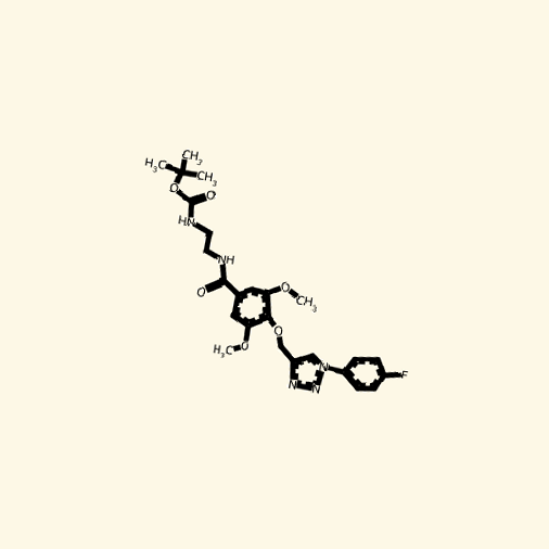 COc1cc(C(=O)NCCNC(=O)OC(C)(C)C)cc(OC)c1OCc1cn(-c2ccc(F)cc2)nn1